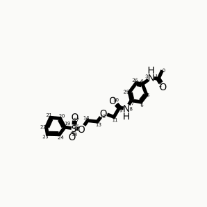 CC(=O)Nc1ccc(NC(=O)COCCOS(=O)(=O)c2ccccc2)cc1